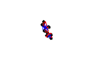 c1ccc(-c2nc(-c3cccc4c3oc3ccccc34)nc(-c3cccc4c3oc3cc(-c5cccc6c7ccccc7n(-c7ccccc7)c56)ccc34)n2)cc1